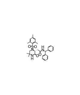 Cc1cc(C)c(S(=O)(=O)N2CC(C)(C)NC(=O)[C@H]2CC(=O)NC(c2ccccc2)c2ccccc2)c(C)c1